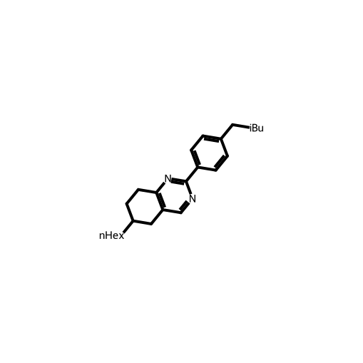 CCCCCCC1CCc2nc(-c3ccc(CC(C)CC)cc3)ncc2C1